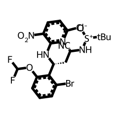 CC(C)(C)[S+]([O-])NC(C#N)C[C@@H](Nc1nc(Cl)ccc1[N+](=O)[O-])c1c(Br)cccc1OC(F)F